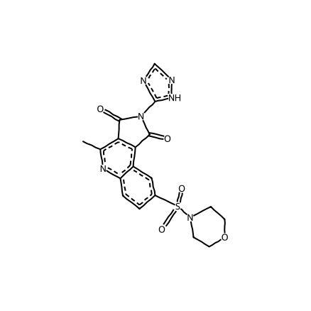 Cc1nc2ccc(S(=O)(=O)N3CCOCC3)cc2c2c1C(=O)N(c1ncn[nH]1)C2=O